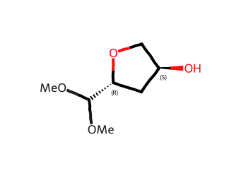 COC(OC)[C@H]1C[C@H](O)CO1